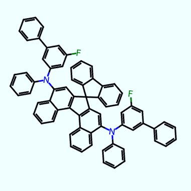 Fc1cc(-c2ccccc2)cc(N(c2ccccc2)c2cc3c(c4ccccc24)-c2c(cc(N(c4ccccc4)c4cc(F)cc(-c5ccccc5)c4)c4ccccc24)C32c3ccccc3-c3ccccc32)c1